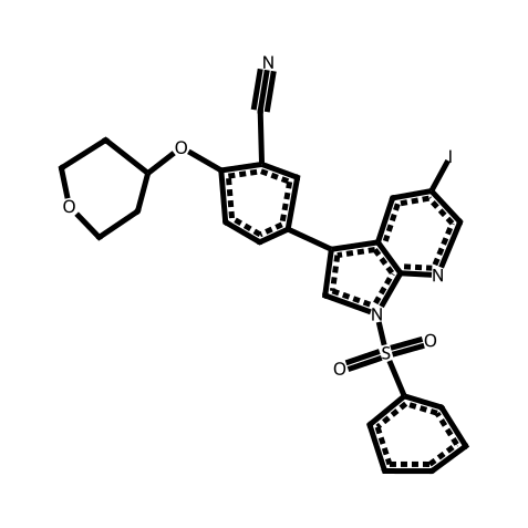 N#Cc1cc(-c2cn(S(=O)(=O)c3ccccc3)c3ncc(I)cc23)ccc1OC1CCOCC1